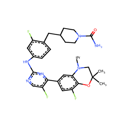 CC(C)N1CC(C)(C)Oc2c(F)cc(-c3nc(Nc4ccc(CC5CCN(C(N)=O)CC5)c(F)c4)ncc3F)cc21